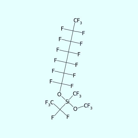 FC(F)(F)O[Si](OC(F)(F)C(F)(F)C(F)(F)C(F)(F)C(F)(F)C(F)(F)C(F)(F)F)(C(F)(F)F)C(F)(F)C(F)(F)F